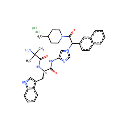 CC1CCN(C(=O)C(c2ccc3ccccc3c2)n2cnc(NC(=O)[C@@H](Cc3c[nH]c4ccccc34)NC(=O)C(C)(C)N)c2)CC1.Cl.Cl